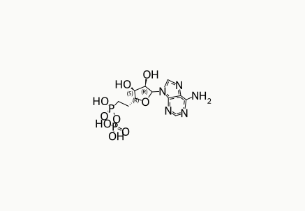 Nc1ncnc2c1ncn2C1O[C@H](CCP(=O)(O)OP(=O)(O)O)[C@@H](O)[C@H]1O